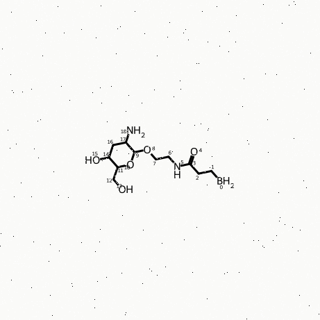 BCCC(=O)NCCOC1OC(CO)C(O)CC1N